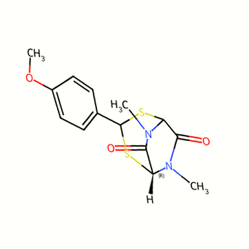 COc1ccc(C2SC3C(=O)N(C)[C@H](S2)C(=O)N3C)cc1